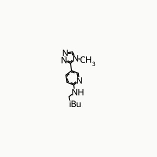 CCC(C)CNc1ccc(-c2nncn2C)cn1